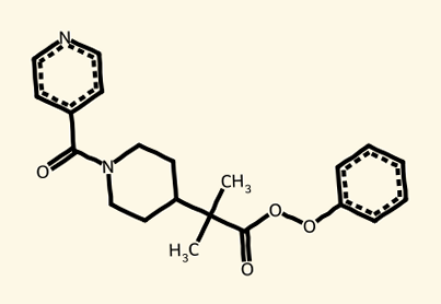 CC(C)(C(=O)OOc1ccccc1)C1CCN(C(=O)c2ccncc2)CC1